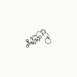 O=c1[nH]c(N[N+](=O)[O-])ncc1Cc1ccc(CN2CCCCC2)s1